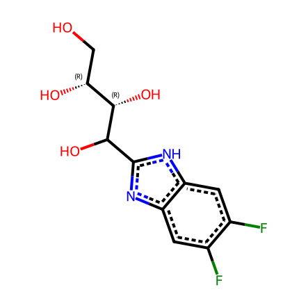 OC[C@@H](O)[C@H](O)C(O)c1nc2cc(F)c(F)cc2[nH]1